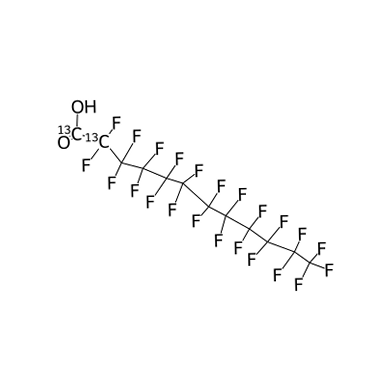 O=[13C](O)[13C](F)(F)C(F)(F)C(F)(F)C(F)(F)C(F)(F)C(F)(F)C(F)(F)C(F)(F)C(F)(F)C(F)(F)C(F)(F)F